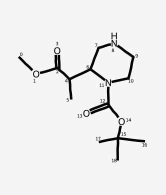 COC(=O)C(C)C1CNCCN1C(=O)OC(C)(C)C